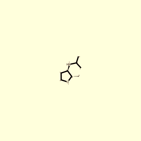 CC(C)N[C@@H]1CCO[C@H]1C